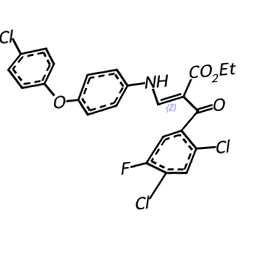 CCOC(=O)/C(=C\Nc1ccc(Oc2ccc(Cl)cc2)cc1)C(=O)c1cc(F)c(Cl)cc1Cl